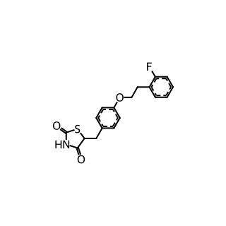 O=C1NC(=O)C(Cc2ccc(OCCc3ccccc3F)cc2)S1